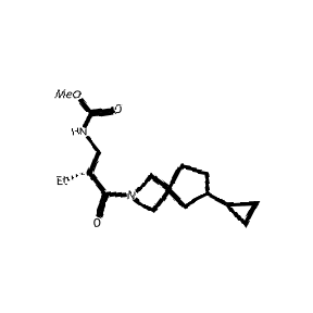 CC[C@H](CNC(=O)OC)C(=O)N1CC2(CCC(C3CC3)C2)C1